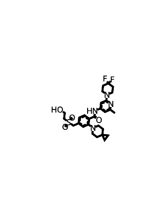 Cc1cc(NC(=O)c2ccc(CS(=O)(=O)CCO)cc2N2CCC3(CC2)CC3)cc(N2CCC(F)(F)CC2)n1